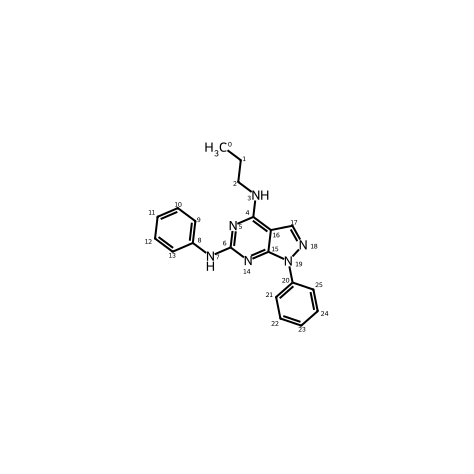 CCCNc1nc(Nc2ccccc2)nc2c1cnn2-c1ccccc1